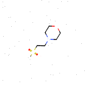 O=NS(=O)(=O)CCN1CCOCC1